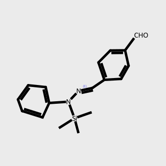 C[Si](C)(C)N(/N=C/c1ccc(C=O)cc1)c1ccccc1